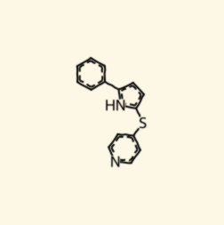 c1ccc(-c2ccc(Sc3ccncc3)[nH]2)cc1